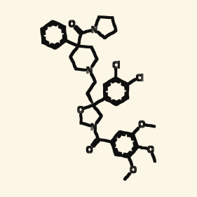 COc1cc(C(=O)N2CO[C@](CCN3CCC(C(=O)N4CCCC4)(c4ccccc4)CC3)(c3ccc(Cl)c(Cl)c3)C2)cc(OC)c1OC